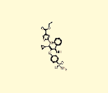 CCOC(=O)c1csc(N/C(=C(/Oc2ccc(S(N)(=O)=O)cc2)C(=N)c2ccccc2)C2CC2)n1